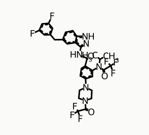 CC(C)N(C(=O)C(F)(F)F)c1cc(N2CCN(C(=O)C(F)(F)F)CC2)ccc1C(=O)Nc1n[nH]c2ccc(Cc3cc(F)cc(F)c3)cc12